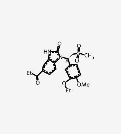 CCOc1cc([C@@H](CS(C)(=O)=O)n2c(=O)[nH]c3cc(C(=O)CC)ccc32)ccc1OC